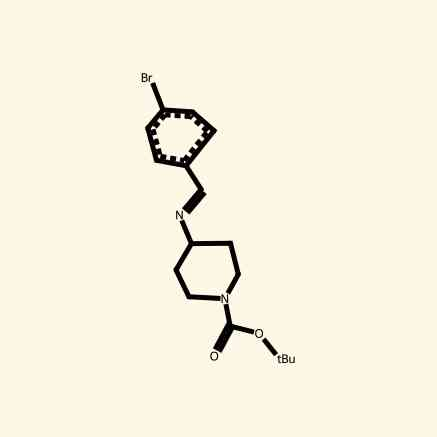 CC(C)(C)OC(=O)N1CCC(N=Cc2ccc(Br)cc2)CC1